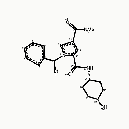 CC[C@@H](c1ccccc1)n1nc(C(=O)NC)cc1C(=O)N[C@H]1CC[C@H](O)CC1